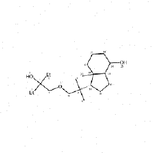 CCC(O)(CC)COCC(C)(C)[C@H]1CCC2C(O)CCCC21C